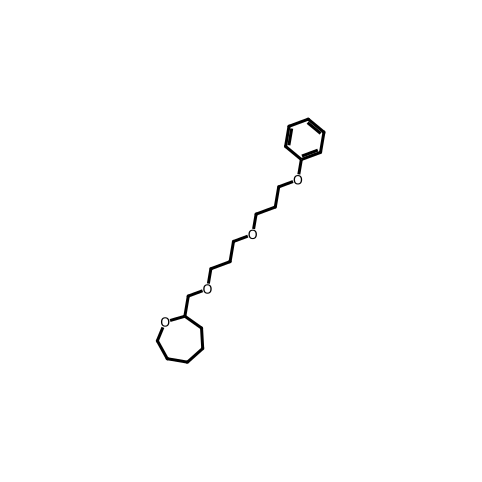 c1ccc(OCCCOCCCOCC2CCCCCO2)cc1